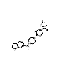 CCN=[S@@](C)(=O)c1cnc(N2CCN([C@H](C)c3ccc4c(c3)OCC4)CC2)nc1